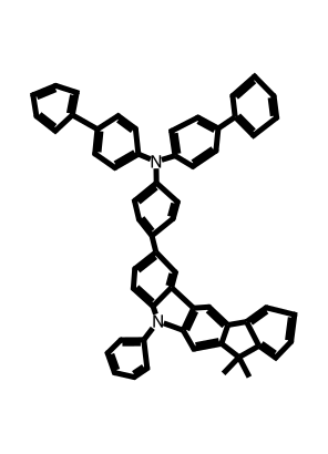 CC1(C)c2ccccc2-c2cc3c4cc(-c5ccc(N(c6ccc(-c7ccccc7)cc6)c6ccc(-c7ccccc7)cc6)cc5)ccc4n(-c4ccccc4)c3cc21